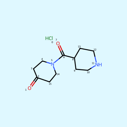 Cl.O=C1CCN(C(=O)C2CCNCC2)CC1